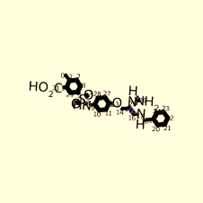 Cc1ccc(S(=O)(=O)Nc2ccc(OC/C(=C/NCc3ccccc3)NN)cc2)cc1C(=O)O